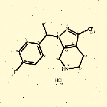 CC(c1ccc(F)cc1)n1nc(C(F)(F)F)c2c1CNCC2.Cl